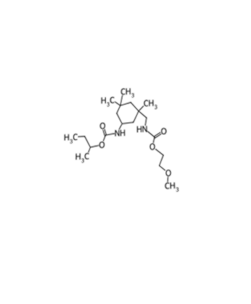 CCC(C)OC(=O)NC1CC(C)(C)CC(C)(CNC(=O)OCCOC)C1